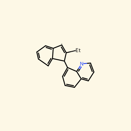 CCC1=[C]c2ccccc2C1c1cccc2cccnc12